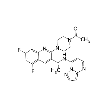 CC(=O)N1CCN(c2nc3cc(F)cc(F)c3cc2C(C)Nc2ccnc3ccnn23)CC1